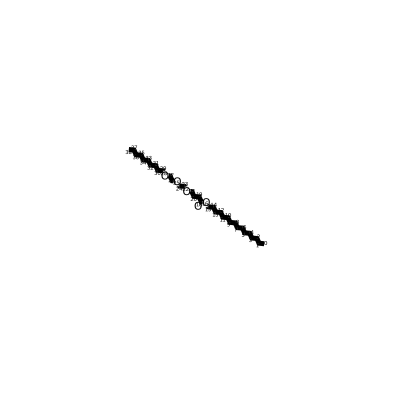 CCCCCCCCCCCCCCCCOC(=O)CCCOCCOCCOCCCCCCCCCC